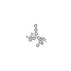 CC1(C)c2ccccc2-c2ccc(N(c3ccc(-c4ccc(-c5ccccc5)cc4)cc3)c3ccc4c(c3)-c3cc(-c5ccccc5)c5ccccc5c3C4(C)C)cc21